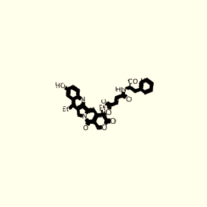 CCc1c2c(nc3ccc(O)cc13)-c1cc3c(c(=O)n1C2)COC(=O)[C@@]3(CC)OC(=O)CCC(=O)N[C@@H](Cc1ccccc1)C(=O)O